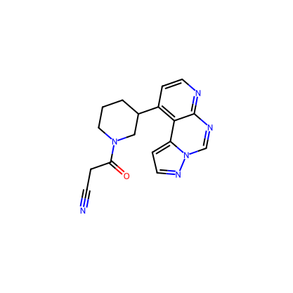 N#CCC(=O)N1CCCC(c2ccnc3ncn4nccc4c23)C1